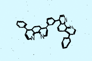 c1ccc(-c2ccnc3c2ccc2c(-c4cccc(-c5ccnc6c5ccc5c(-c7ccccc7)ccnc56)c4)ccnc23)cc1